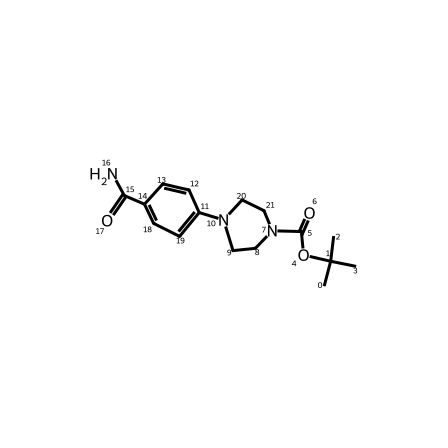 CC(C)(C)OC(=O)N1CCN(c2ccc(C(N)=O)cc2)CC1